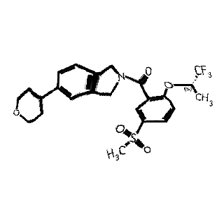 C[C@H](Oc1ccc(S(C)(=O)=O)cc1C(=O)N1Cc2ccc(C3CCOCC3)cc2C1)C(F)(F)F